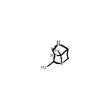 CC1CNC2CN1C2(C)C